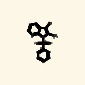 Cc1c(Br)c2cccnc2n1S(=O)(=O)c1ccccc1